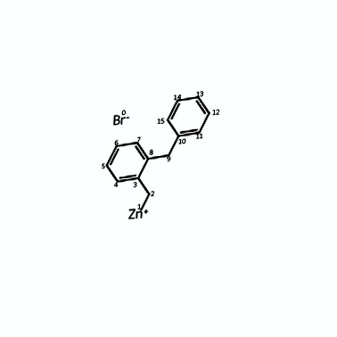 [Br-].[Zn+][CH2]c1ccccc1Cc1ccccc1